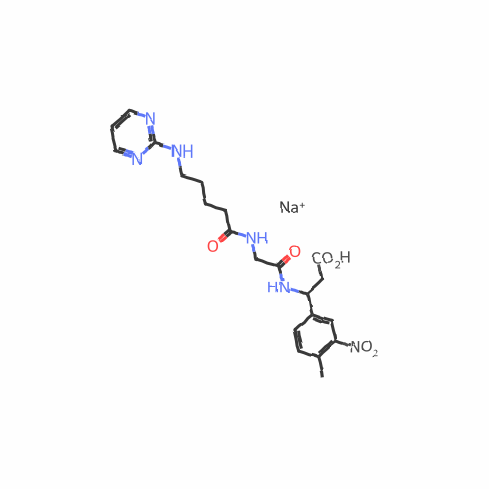 Cc1ccc(C(CC(=O)O)NC(=O)CNC(=O)CCCCNc2ncccn2)cc1[N+](=O)[O-].[Na+]